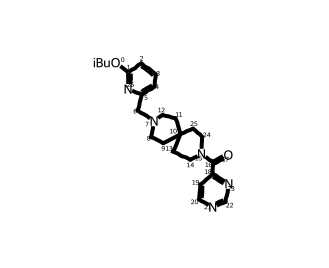 CC(C)COc1cccc(CN2CCC3(CC2)CCN(C(=O)c2ccncn2)CC3)n1